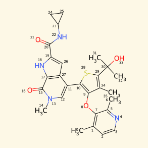 Cc1ccnc(C)c1Oc1c(-c2cn(C)c(=O)c3[nH]c(C(=O)NC4CC4)cc23)sc(C(C)(C)O)c1C